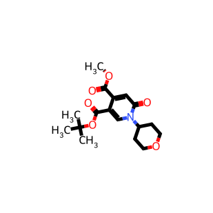 COC(=O)c1cc(=O)n(C2CCOCC2)cc1C(=O)OC(C)(C)C